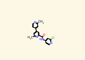 Cc1cc(-c2cc(C)nc(C(=O)Nc3ccnc(Cl)c3)c2)ccn1